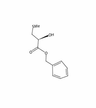 CSC[C@@H](O)C(=O)OCc1ccccc1